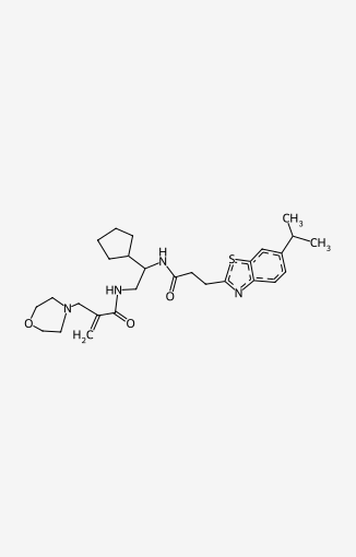 C=C(CN1CCOCC1)C(=O)NCC(NC(=O)CCc1nc2ccc(C(C)C)cc2s1)C1CCCC1